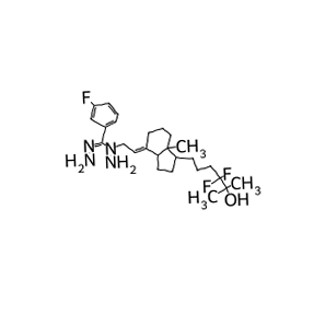 CC12CCC/C(=C\CN(N)/C(=N\N)c3cccc(F)c3)C1CCC2CCCC(F)(F)C(C)(C)O